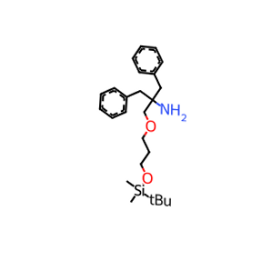 CC(C)(C)[Si](C)(C)OCCCOCC(N)(Cc1ccccc1)Cc1ccccc1